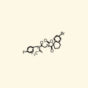 C[C@@H](N(Cc1ccc(F)cc1)C(=O)CN1C(=O)OC2(CCCc3cc(Br)ccc32)C1=O)C(F)(F)F